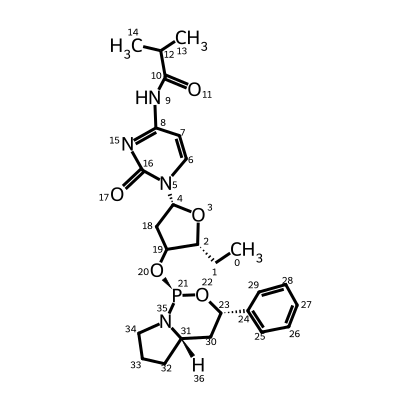 CC[C@H]1O[C@@H](n2ccc(NC(=O)C(C)C)nc2=O)CC1O[P@@]1O[C@H](c2ccccc2)C[C@@H]2CCCN21